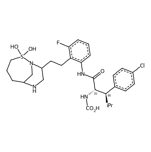 CC(C)[C@H](c1ccc(Cl)cc1)[C@H](NC(=O)O)C(=O)Nc1cccc(F)c1CCC1CNC2CCCS(O)(O)N1C2